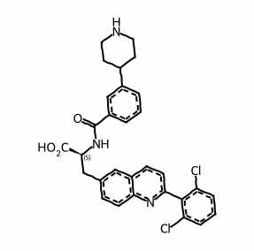 O=C(N[C@@H](Cc1ccc2nc(-c3c(Cl)cccc3Cl)ccc2c1)C(=O)O)c1cccc(C2CCNCC2)c1